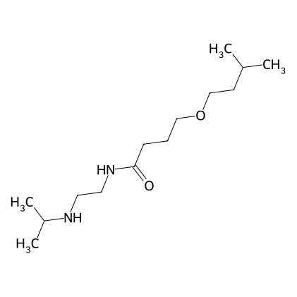 CC(C)CCOCCCC(=O)NCCNC(C)C